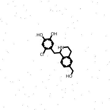 OCc1ccc2c(c1)CCNC2Cc1cc(O)c(O)cc1Cl